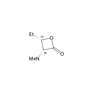 CC[C@@H]1OC(=O)[C@@H]1NC